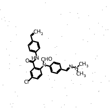 C=Cc1ccc(NC(=O)c2cc(Cl)ccc2N(C=O)c2ccc(C=NN(C)C)cc2)cc1